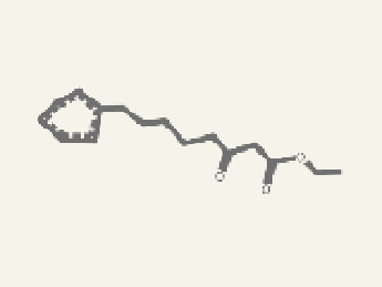 CCOC(=O)CC(=O)CCCCCc1ccccc1